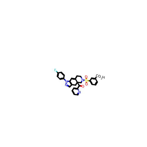 O=C(O)c1cccc(S(=O)(=O)N2CCC3=Cc4c(cnn4-c4ccc(F)cc4)CC3(C(=O)c3ccccn3)C2)c1